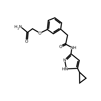 NC(=O)COc1cccc(CC(=O)Nc2cc(C3CC3)[nH]n2)c1